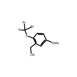 [2H]C([2H])([2H])Oc1ccc(OC)cc1CC#N